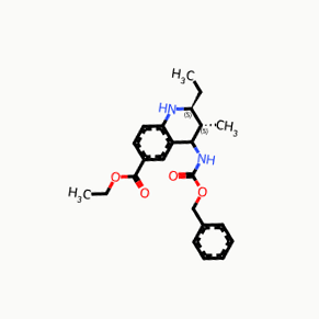 CCOC(=O)c1ccc2c(c1)C(NC(=O)OCc1ccccc1)[C@@H](C)[C@H](CC)N2